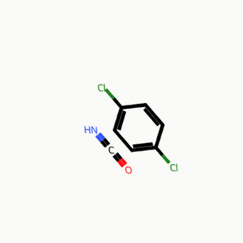 Clc1ccc(Cl)cc1.N=C=O